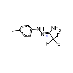 Cc1ccc(N/N=C(\N)C(F)(F)F)cc1